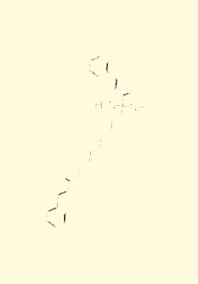 NC(N)(CCCCCCCCCC(=O)C=Cc1ccccc1)C(=O)C=Cc1ccccc1